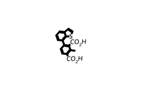 Cc1c(C(=O)O)ccc(-c2cccc3ccsc23)c1C(=O)O